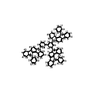 C1=CC2c3c(ccc4c5ccccc5n(-c5ccccc5)c34)N(c3cc(-c4cccc(-n5c6ccccc6c6c7c(ccc65)C5C=CC=CC5N7c5ccccc5)n4)cc(-n4c5ccccc5c5c6c(ccc54)C4C=CC=CC4N6c4ccccc4)c3)C2C=C1